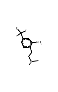 CN(C)CCc1ccc(C(F)(F)F)cc1N